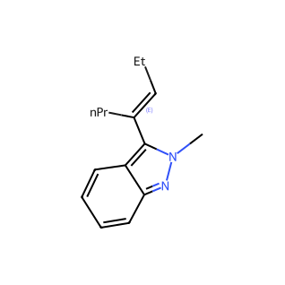 CC/C=C(\CCC)c1c2ccccc2nn1C